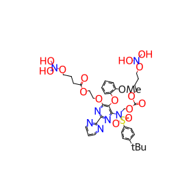 COc1ccccc1Oc1c(OCCOC(=O)CCCON(O)O)nc(-c2ncccn2)nc1N(COC(=O)OCCCCON(O)O)S(=O)(=O)c1ccc(C(C)(C)C)cc1